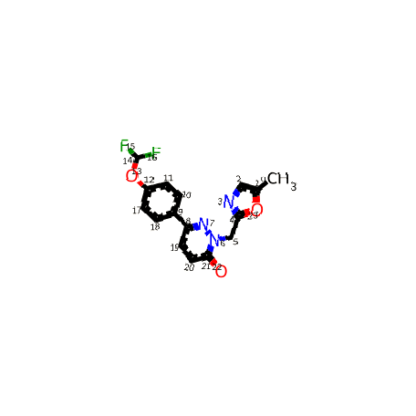 Cc1cnc(Cn2nc(-c3ccc(OC(F)F)cc3)ccc2=O)o1